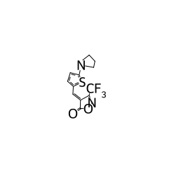 O=C1ON=C(C(F)(F)F)C1=Cc1ccc(N2CCCC2)s1